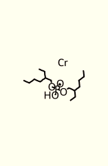 CCCCC(CC)COP(=O)(O)OCC(CC)CCCC.[Cr]